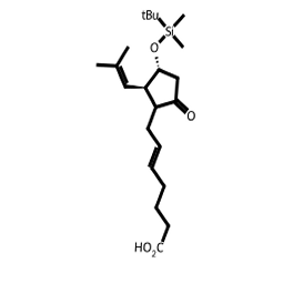 CC(C)=C[C@@H]1C(CC=CCCCC(=O)O)C(=O)C[C@H]1O[Si](C)(C)C(C)(C)C